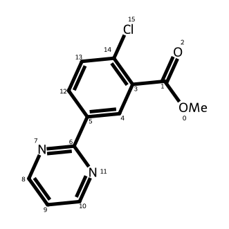 COC(=O)c1cc(-c2ncccn2)ccc1Cl